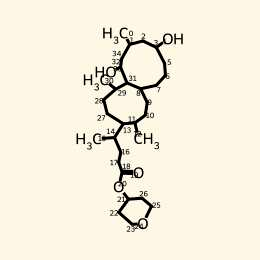 CC1CC(O)CCCC2CCC(C)C(C(C)CCC(=O)OC3CCOCC3)CCC(C)C2C(O)C1